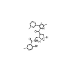 Cc1cccc(-c2sc(C)nc2C(=O)N2C[C@H]3C[C@H]3[C@H]2CNC(=O)c2cc(C)ccc2Br)c1